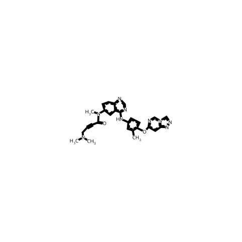 Cc1cc(Nc2ncnc3ccc(N(C)C(=O)C#CCN(C)C)cc23)ccc1Oc1cc2nncn2cn1